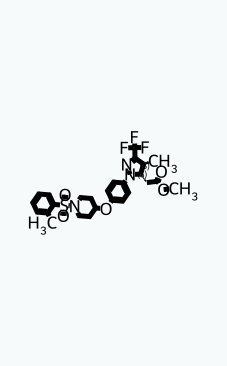 COC(=O)C[C@H]1[C@H](C)C(C(F)(F)F)=NN1c1ccc(OC2CCN(S(=O)(=O)c3ccccc3C)CC2)cc1